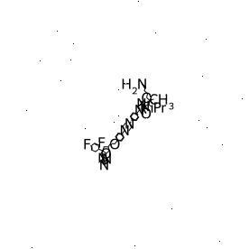 CC(C)C(C(C)OCCCN)n1ncn(-c2ccc(N3CCN(c4ccc(OCC5COC(Cn6cncn6)(C6CC=C(F)C=C6F)C5)cc4)CC3)cc2)c1=O